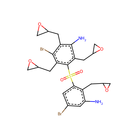 Nc1cc(Br)cc(S(=O)(=O)c2c(CC3CO3)c(N)c(CC3CO3)c(Br)c2CC2CO2)c1CC1CO1